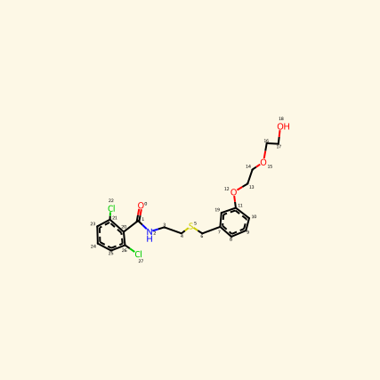 O=C(NCCSCc1cccc(OCCOCCO)c1)c1c(Cl)cccc1Cl